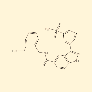 NCc1ccccc1CNC(=O)c1ccc2[nH]nc(-c3cccc(S(N)(=O)=O)c3)c2c1